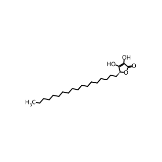 CCCCCCCCCCCCCCCCCC[C@@H]1OC(=O)C(O)=C1O